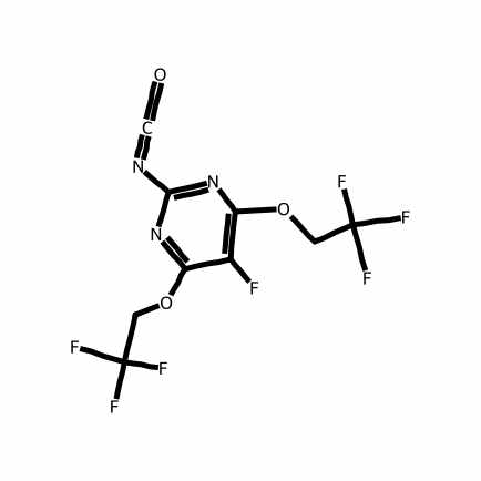 O=C=Nc1nc(OCC(F)(F)F)c(F)c(OCC(F)(F)F)n1